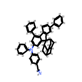 N#Cc1ccc(N(c2ccccc2)c2cc(-c3ccccc3)c3c(c2)C2(c4cc(-c5ccccc5)ccc4-3)C3CC4CC(C3)CC2C4)cc1